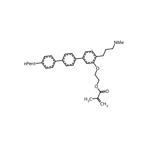 C=C(C)C(=O)OCCOc1cc(-c2ccc(-c3ccc(CCCCC)cc3)cc2)ccc1CCCNC